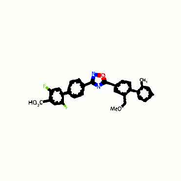 COCc1cc(-c2nc(-c3ccc(-c4cc(F)c(C(=O)O)cc4F)cc3)no2)ccc1-c1ccccc1C